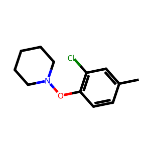 Cc1ccc(ON2CCCCC2)c(Cl)c1